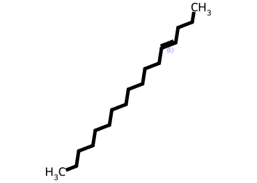 CCC/C=C/CCCCCCCCCCCC